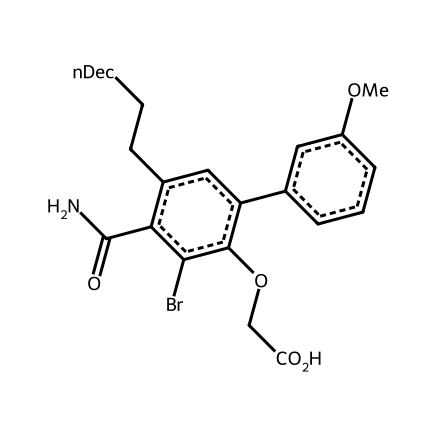 CCCCCCCCCCCCc1cc(-c2cccc(OC)c2)c(OCC(=O)O)c(Br)c1C(N)=O